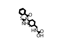 NC(=S)N(C(=O)c1ccccc1)C1CCC(CNC(=O)O)CC1